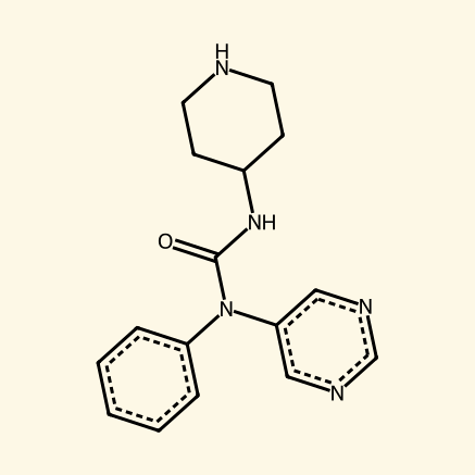 O=C(NC1CCNCC1)N(c1ccccc1)c1cncnc1